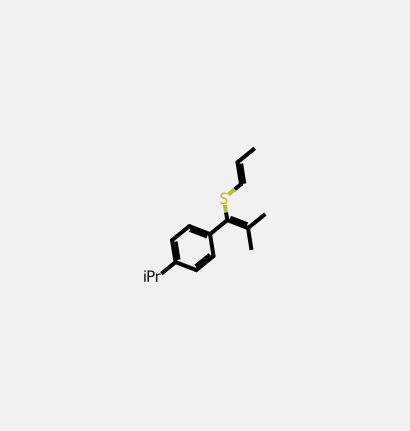 CC=CSC(=C(C)C)c1ccc(C(C)C)cc1